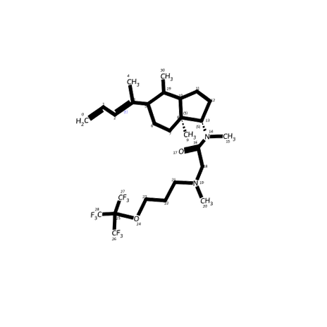 C=C/C=C(\C)C1CC[C@@]2(C)C(CC[C@@H]2N(C)C(=O)CN(C)CCCOC(C(F)(F)F)(C(F)(F)F)C(F)(F)F)C1C